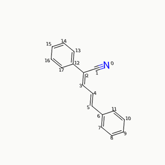 N#C/C(=C\C=C\c1ccccc1)c1ccccc1